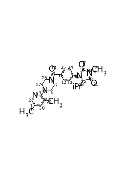 Cc1cnc(N2CCN(C(=O)c3ccc(N4C(=O)N(C)C(=O)C4C(C)C)cc3)CC2)c(C)c1